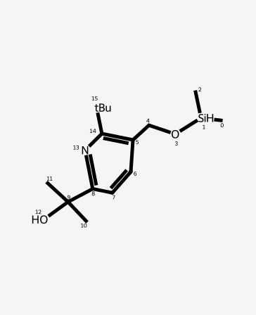 C[SiH](C)OCc1ccc(C(C)(C)O)nc1C(C)(C)C